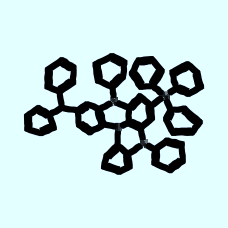 c1ccc(C(c2ccccc2)c2ccc3c(c2)N(c2ccccc2)c2cc([Si](c4ccccc4)(c4ccccc4)c4ccccc4)cc4c2B3c2ccccc2N4c2ccccc2)cc1